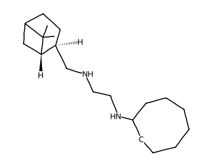 CC1(C)C2CC[C@@H](CNCCNC3CCCCCCC3)[C@@H]1C2